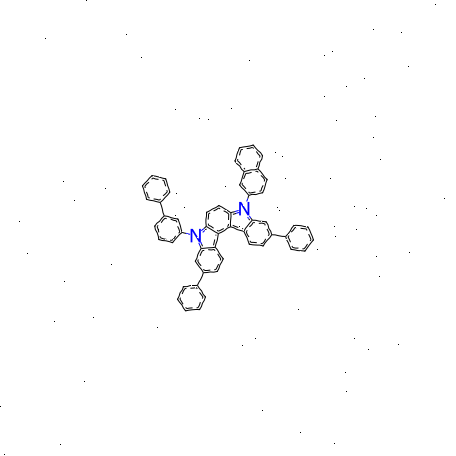 c1ccc(-c2cccc(-n3c4cc(-c5ccccc5)ccc4c4c5c6ccc(-c7ccccc7)cc6n(-c6ccc7ccccc7c6)c5ccc43)c2)cc1